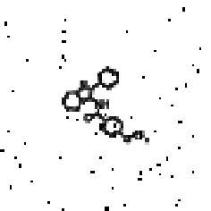 O=C(Nc1c(-c2ccccc2)nc2ccccn12)c1ccc(OC(F)(F)F)cc1